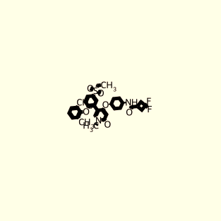 CCS(=O)(=O)c1ccc(Oc2c(C)cccc2C)c(-c2cn(C)c(=O)cc2O[C@H]2CC[C@H](NC(=O)C3CC(F)(F)C3)CC2)c1